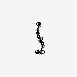 C=CC(=O)OCCCCOc1ccc(-c2ccc(SC(=O)c3ccc4cc(OCCCCCCN(C)C(=O)/C=C\C=O)ccc4c3)cc2)cc1